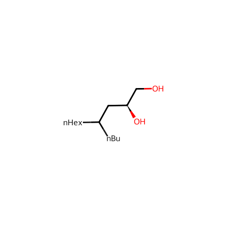 CCCCCCC(CCCC)C[C@H](O)CO